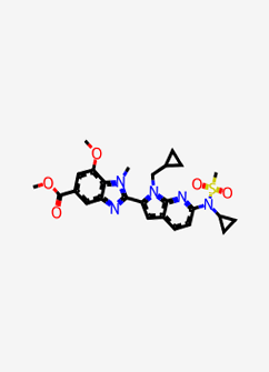 COC(=O)c1cc(OC)c2c(c1)nc(-c1cc3ccc(N(C4CC4)S(C)(=O)=O)nc3n1CC1CC1)n2C